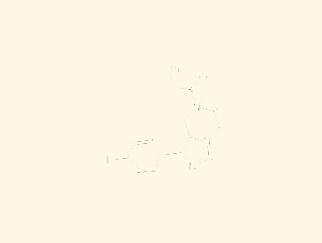 CC(C)(C)OC(=O)N1CCn2cnc(-c3ccc(F)cc3)c2C1